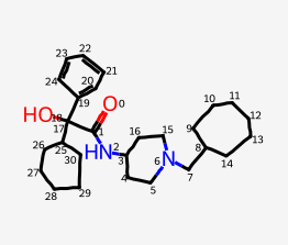 O=C(NC1CCN(CC2CCCCCC2)CC1)C(O)(c1ccccc1)C1CCCCC1